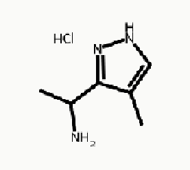 Cc1c[nH]nc1C(C)N.Cl